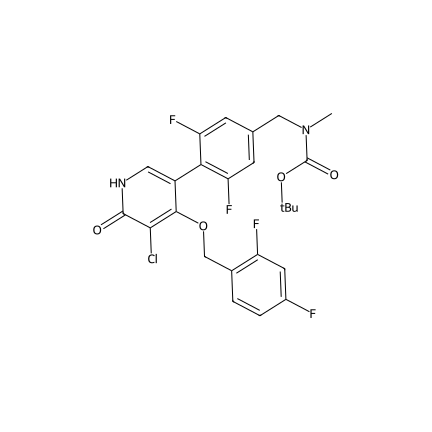 CN(Cc1cc(F)c(-c2c[nH]c(=O)c(Cl)c2OCc2ccc(F)cc2F)c(F)c1)C(=O)OC(C)(C)C